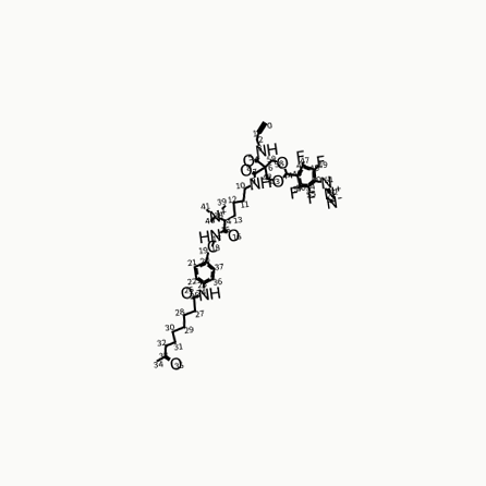 C#CCNC(=O)C1(C(=O)NCCCC[C@@H](C(=O)NCCc2ccc(NC(=O)CCCCCCC(C)=O)cc2)[N+](C)(C)C)COC(c2c(F)c(F)c(N=[N+]=[N-])c(F)c2F)OC1